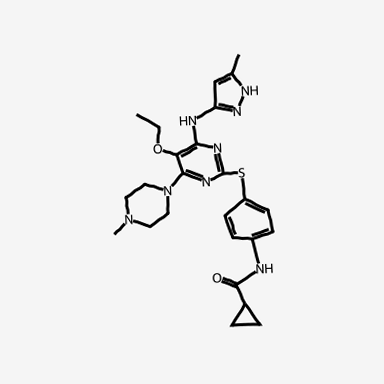 CCOc1c(Nc2cc(C)[nH]n2)nc(Sc2ccc(NC(=O)C3CC3)cc2)nc1N1CCN(C)CC1